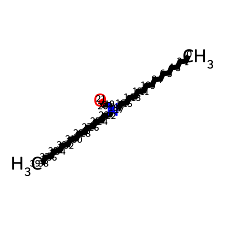 CCCCCCCCCCCCCCCCCCN(CC=O)CCCCCCCCCCCCCCCCCC